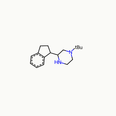 CC(C)(C)N1CCNC(C2CCc3ccccc32)C1